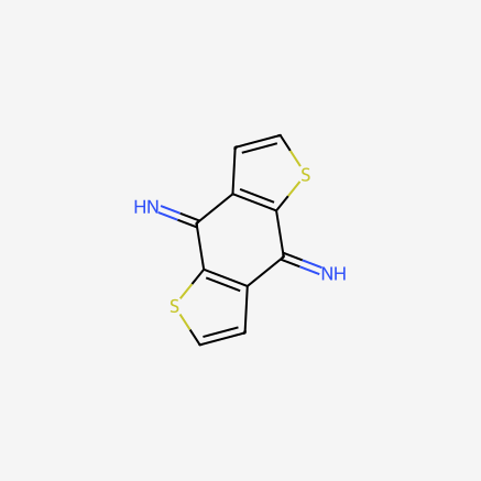 N=C1c2ccsc2C(=N)c2ccsc21